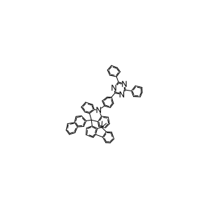 CC1(C)c2ccccc2-c2cccc(C3(c4ccc5ccccc5c4)c4ccccc4N(c4ccc(-c5nc(-c6ccccc6)nc(-c6ccccc6)n5)cc4)c4ccccc43)c21